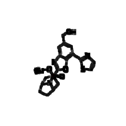 CC(C)(C)OC(=O)N1C2CCC1CN(c1nc3cc(CO)cc(-c4nccs4)c3o1)C2